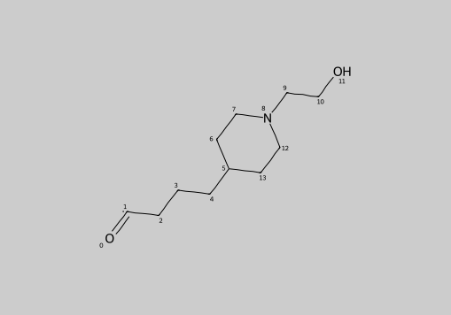 O=[C]CCCC1CCN(CCO)CC1